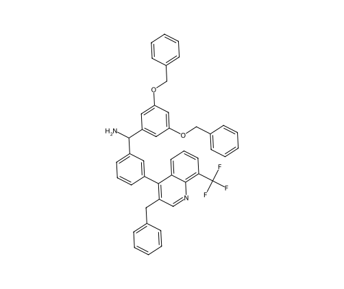 NC(c1cc(OCc2ccccc2)cc(OCc2ccccc2)c1)c1cccc(-c2c(Cc3ccccc3)cnc3c(C(F)(F)F)cccc23)c1